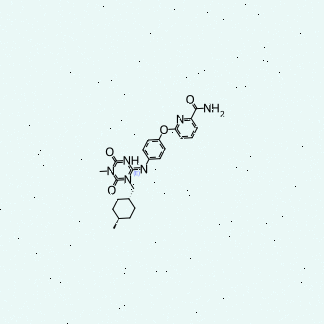 Cn1c(=O)[nH]/c(=N\c2ccc(Oc3cccc(C(N)=O)n3)cc2)n(C[C@H]2CC[C@H](C)CC2)c1=O